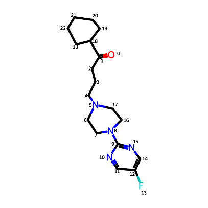 O=C(CCCN1CCN(c2ncc(F)cn2)CC1)C1CCCCC1